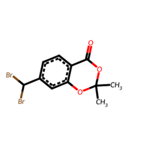 CC1(C)OC(=O)c2ccc(C(Br)Br)cc2O1